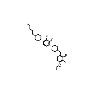 CCCCC[C@H]1CC[C@H](c2ccc([C@H]3CC[C@H](Cc4ccc(OCC)c(F)c4F)CC3)c(F)c2F)CC1